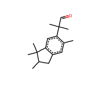 Cc1cc2c(cc1C(C)(C)C=O)C(C)(C)C(C)C2